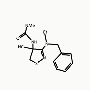 CCN(Cc1ccccc1)C1=NSCC1(C#N)NC(=O)NC